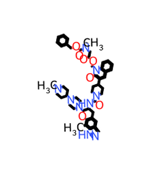 Cc1cc(CC(NC(=O)N2CCC(c3cc4ccccc4n(COC(=O)CN(C)C(=O)OCc4ccccc4)c3=O)CC2)C(=O)N2CCN(C3CCN(C)CC3)CC2)cc2cn[nH]c12